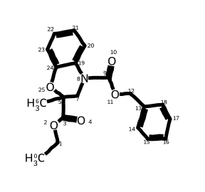 CCOC(=O)C1(C)CN(C(=O)OCc2ccccc2)c2ccccc2O1